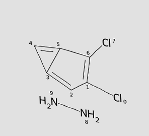 Clc1cc2cc-2c1Cl.NN